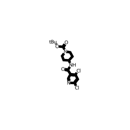 CC(C)(C)OC(=O)N1CCC(NC(=O)c2cnc(Cl)cc2Cl)CC1